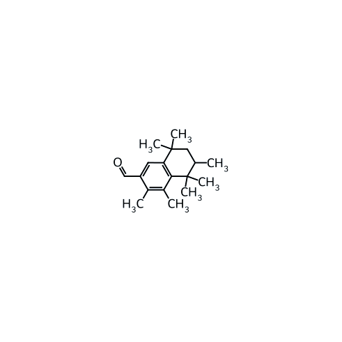 Cc1c(C=O)cc2c(c1C)C(C)(C)C(C)CC2(C)C